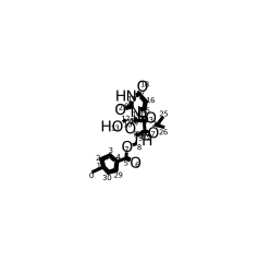 Cc1ccc(C(=O)OC[C@H]2O[C@@](CO)(n3ccc(=O)[nH]c3=O)[C@@H]3OC(C)(C)O[C@@H]32)cc1